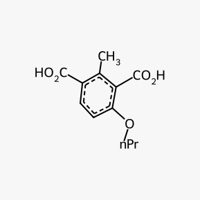 CCCOc1ccc(C(=O)O)c(C)c1C(=O)O